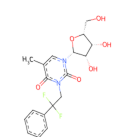 Cc1cn([C@@H]2O[C@H](CO)[C@H](O)[C@@H]2O)c(=O)n(CC(F)(F)c2ccccc2)c1=O